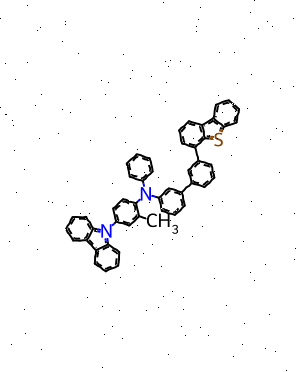 Cc1cc(-n2c3ccccc3c3ccccc32)ccc1N(c1ccccc1)c1cccc(-c2cccc(-c3cccc4c3sc3ccccc34)c2)c1